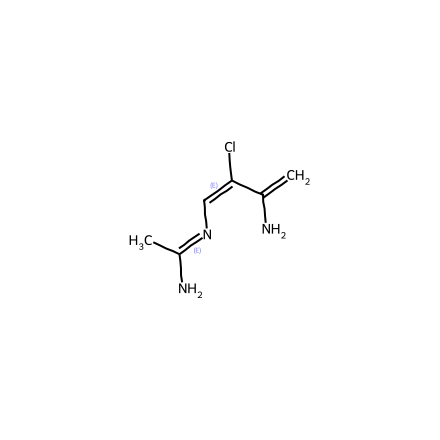 C=C(N)/C(Cl)=C\N=C(/C)N